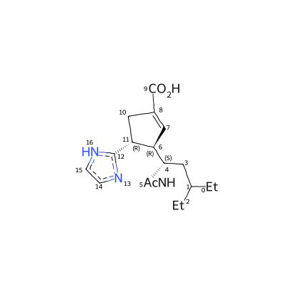 CCC(CC)C[C@H](NC(C)=O)[C@@H]1C=C(C(=O)O)C[C@H]1c1ncc[nH]1